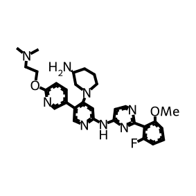 COc1cccc(F)c1-c1nccc(Nc2cc(N3CCC[C@H](N)C3)c(-c3ccc(OCCN(C)C)nc3)cn2)n1